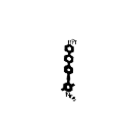 CCCC1CCC(C2CCC(c3ccc(C#Cc4cc(C)c(N=C=S)cc4C)cc3)CC2)CC1